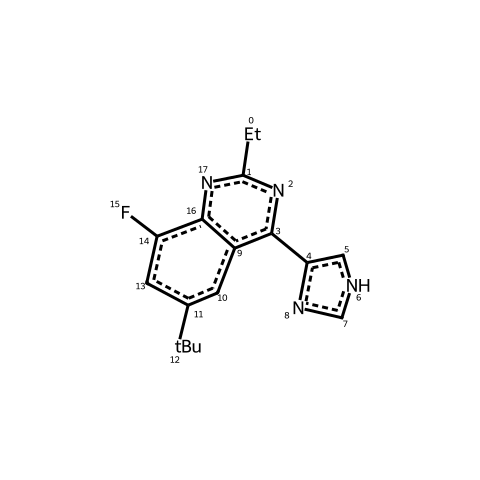 CCc1nc(-c2c[nH]cn2)c2cc(C(C)(C)C)cc(F)c2n1